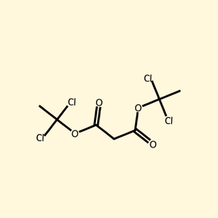 CC(Cl)(Cl)OC(=O)CC(=O)OC(C)(Cl)Cl